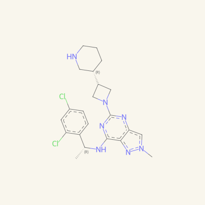 C[C@@H](Nc1nc(N2CC([C@H]3CCCNC3)C2)nc2cn(C)nc12)c1ccc(Cl)cc1Cl